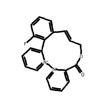 O=C1OC/C=C/c2cccc(F)c2-c2cccc[n+]2-[n+]2ccccc21